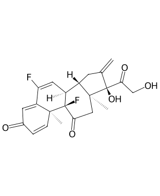 C=C1C[C@H]2[C@@H]3C=C(F)C4=CC(=O)C=C[C@]4(C)[C@@]3(F)C(=O)C[C@]2(C)[C@@]1(O)C(=O)CO